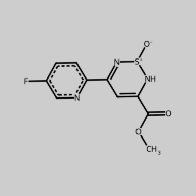 COC(=O)C1=CC(c2ccc(F)cn2)=N[S+]([O-])N1